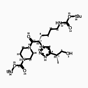 C[C@@H](CO)c1cn([C@@H](CCCCNC(=O)OC(C)(C)C)C(=O)N2CCN(C(=O)OC(C)(C)C)CC2)nn1